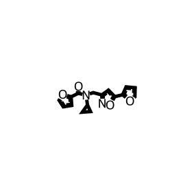 O=C(c1ccco1)N(Cc1cc(-c2ccco2)on1)C1CC1